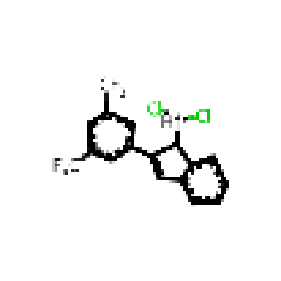 FC(F)(F)c1cc(C2=Cc3ccccc3[CH]2[Hf]([Cl])[Cl])cc(C(F)(F)F)c1